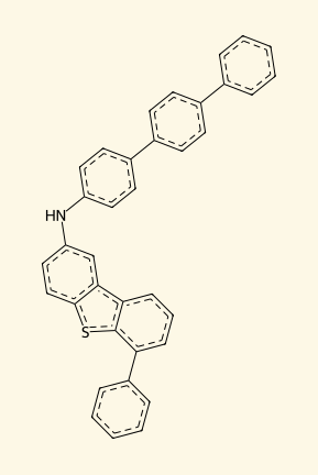 c1ccc(-c2ccc(-c3ccc(Nc4ccc5sc6c(-c7ccccc7)cccc6c5c4)cc3)cc2)cc1